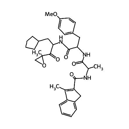 COc1ccc(CC(NC(=O)C(C)NC(=O)C2=C(C)c3ccccc3C2)C(=O)NC(CC2CCCC2)C(=O)C2(C)CO2)cc1